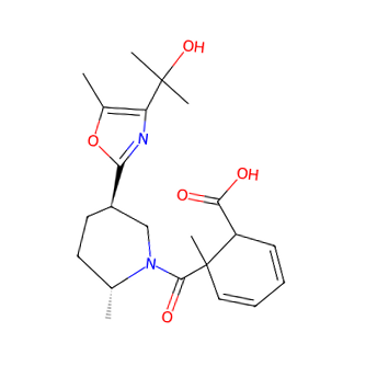 Cc1oc([C@@H]2CC[C@@H](C)N(C(=O)C3(C)C=CC=CC3C(=O)O)C2)nc1C(C)(C)O